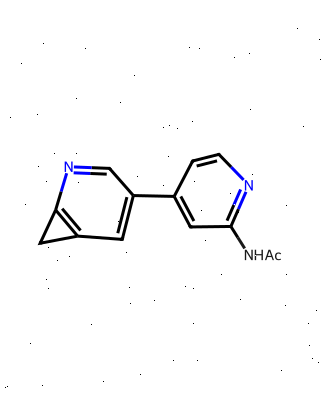 CC(=O)Nc1cc(-c2cnc3c(c2)C3)ccn1